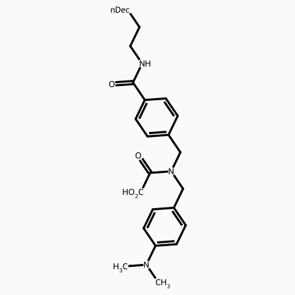 CCCCCCCCCCCCNC(=O)c1ccc(CN(Cc2ccc(N(C)C)cc2)C(=O)C(=O)O)cc1